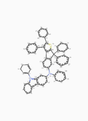 C1=CC(n2c3ccccc3c3ccc(N(c4ccccc4)c4ccc5c(c4)C(c4ccccc4)(c4ccccc4)c4sc(-c6ccccc6)c(-c6ccccc6)c4-5)cc32)=CCC1